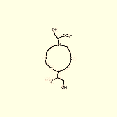 O=C(O)C(CO)N1CCNCCN(C(CO)C(=O)O)CCNCC1